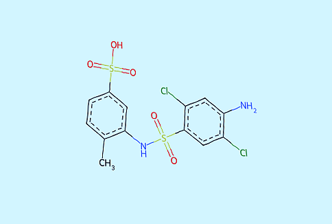 Cc1ccc(S(=O)(=O)O)cc1NS(=O)(=O)c1cc(Cl)c(N)cc1Cl